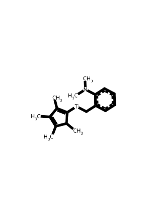 CC1=C(C)C(C)[C]([Ti][CH2]c2ccccc2N(C)C)=C1C